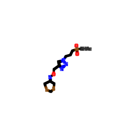 CC(=O)NS(=O)(=O)CCCn1cc(CON=C2CSCSC2)nn1